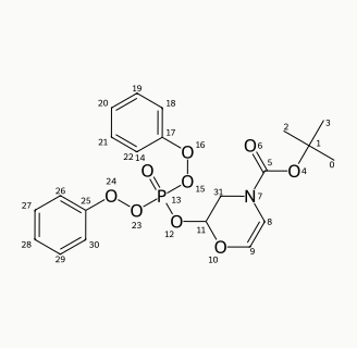 CC(C)(C)OC(=O)N1C=COC(OP(=O)(OOc2ccccc2)OOc2ccccc2)C1